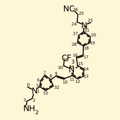 CN(CCN)c1ccc(/C=C/c2cccc(/C=C/c3ccc(N(C)CCC#N)cc3)[n+]2CC(F)(F)F)cc1